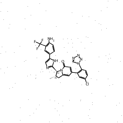 C[C@H]1Cc2cc(-c3cc(Cl)ccc3-n3cnnn3)cc(=O)n2[C@@H]1c1ncc(-c2ccc(N)c(C(F)(F)F)c2)[nH]1